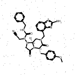 COc1ccc(C[C@H]2C(=O)N(Cc3cccc4sc(N)nc34)C[C@H]3N2C(=O)CN3N(CC#N)C(=O)NCc2ccccc2)cc1